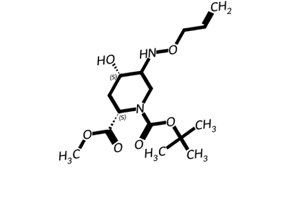 C=CCONC1CN(C(=O)OC(C)(C)C)[C@H](C(=O)OC)C[C@@H]1O